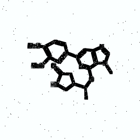 COc1ccc(-c2cc3ncn(C)c3c(O[C@@H](C)C3CNC(=O)C3)n2)cc1OC